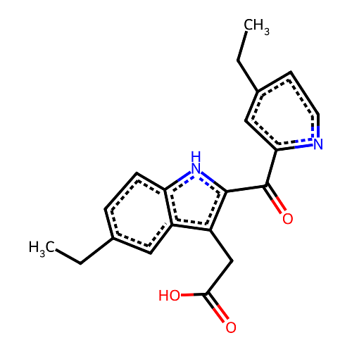 CCc1ccnc(C(=O)c2[nH]c3ccc(CC)cc3c2CC(=O)O)c1